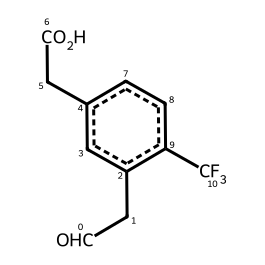 O=CCc1cc(CC(=O)O)ccc1C(F)(F)F